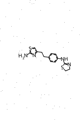 Nc1nc(CCc2ccc(NC3=NCCS3)cc2)cs1